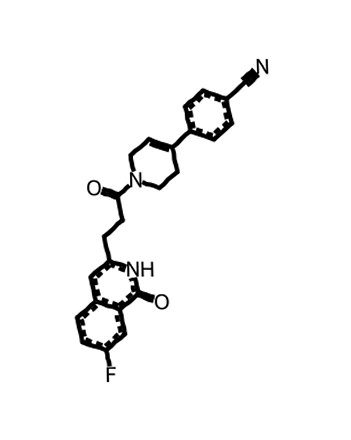 N#Cc1ccc(C2=CCN(C(=O)CCc3cc4ccc(F)cc4c(=O)[nH]3)CC2)cc1